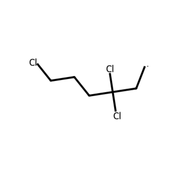 [CH2]CC(Cl)(Cl)CCCCl